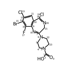 O=C(O)N1CCN(C2=Nc3c(cc(Cl)c(Br)c3F)C(Cl)=NC2)CC1